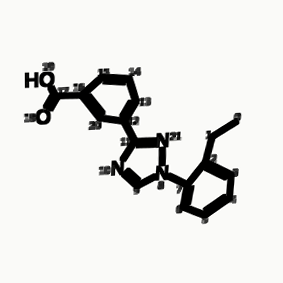 CCc1ccccc1-n1cnc(-c2cccc(C(=O)O)c2)n1